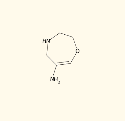 NC1=COCCNC1